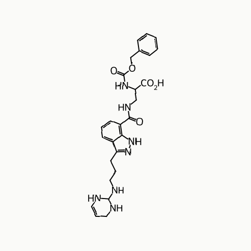 O=C(NC(CNC(=O)c1cccc2c(CCCNC3NC=CCN3)n[nH]c12)C(=O)O)OCc1ccccc1